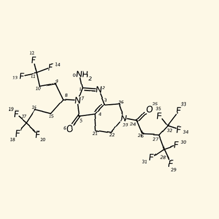 Nc1nc2c(c(=O)n1C(CCC(F)(F)F)CCC(F)(F)F)CCN(C(=O)CC(C(F)(F)F)C(F)(F)F)C2